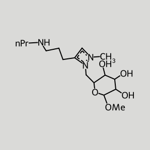 CCCNCCCc1cn(C)n1CC1OC(OC)C(O)C(O)C1O